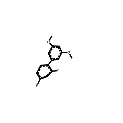 COc1cc(OC)cc(-c2ccc(F)[c]c2F)c1